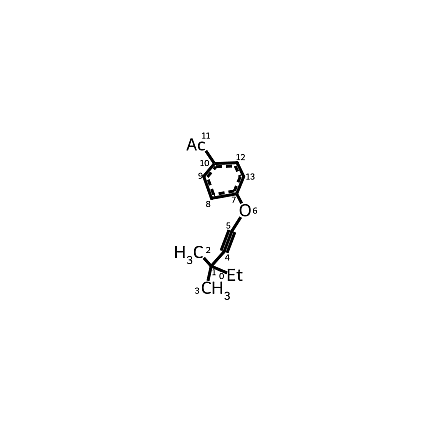 CCC(C)(C)C#COc1ccc(C(C)=O)cc1